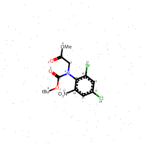 COC(=O)CN(C(=O)OC(C)(C)C)c1c(Br)cc(Cl)cc1[N+](=O)[O-]